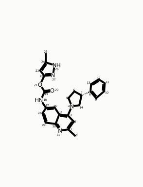 Cc1cc(N2CC[C@H](c3ccccc3)C2)c2cc(NC(=O)Oc3cc(C)[nH]n3)ccc2n1